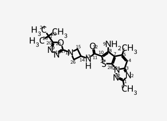 Cc1nc2cc(C)c3c(N)c(C(=O)NC4CN(c5nnc(C(C)(C)C)o5)C4)sc3n2n1